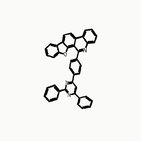 c1ccc(-c2cc(-c3ccc(-c4nc5ccccc5c5ccc6c7ccccc7oc6c45)cc3)nc(-c3ccccc3)n2)cc1